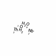 O.O.[Nb].[Th]